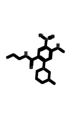 CCCNC(=O)c1cc([N+](=O)[O-])c(NC)cc1N1CCCC(C)C1